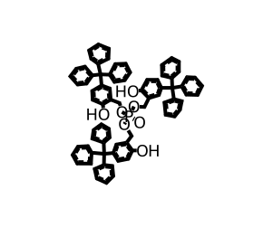 O=P(OCc1cc(C(c2ccccc2)(c2ccccc2)c2ccccc2)ccc1O)(OCc1cc(C(c2ccccc2)(c2ccccc2)c2ccccc2)ccc1O)OCc1cc(C(c2ccccc2)(c2ccccc2)c2ccccc2)ccc1O